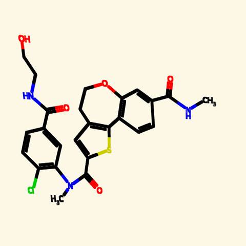 CNC(=O)c1ccc2c(c1)OCCc1cc(C(=O)N(C)c3cc(C(=O)NCCO)ccc3Cl)sc1-2